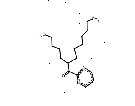 CCCCCCCC(CCCCC)C(=O)c1ncccn1